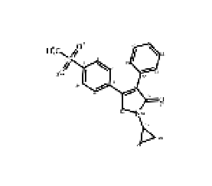 CS(=O)(=O)c1ccc(C2=C(c3ccccc3)C(=O)N(C3CC3)C2)cc1